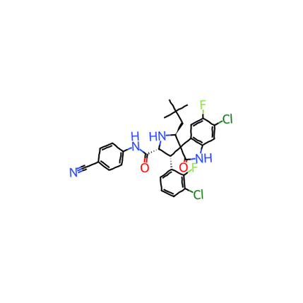 CC(C)(C)C[C@@H]1N[C@@H](C(=O)Nc2ccc(C#N)cc2)[C@@H](c2cccc(Cl)c2F)C12C(=O)Nc1cc(Cl)c(F)cc12